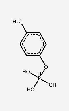 Cc1ccc(O[PH](O)(O)O)cc1